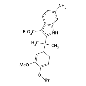 CCOC(=O)c1c(C(C)(C)C2C=C(OC)C(OC(C)C)=CC2)[nH]c2cc(N)ccc12